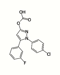 O=C(O)Oc1cc(-c2cccc(F)c2)n(-c2ccc(Cl)cc2)n1